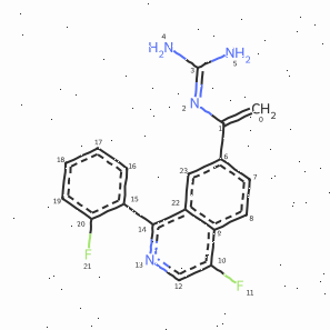 C=C(N=C(N)N)c1ccc2c(F)cnc(-c3ccccc3F)c2c1